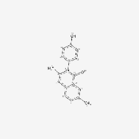 Cc1ccc2nc(C)n(-c3ccc(O)cc3)c(=O)c2c1